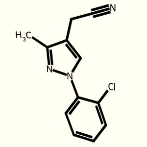 Cc1nn(-c2ccccc2Cl)cc1CC#N